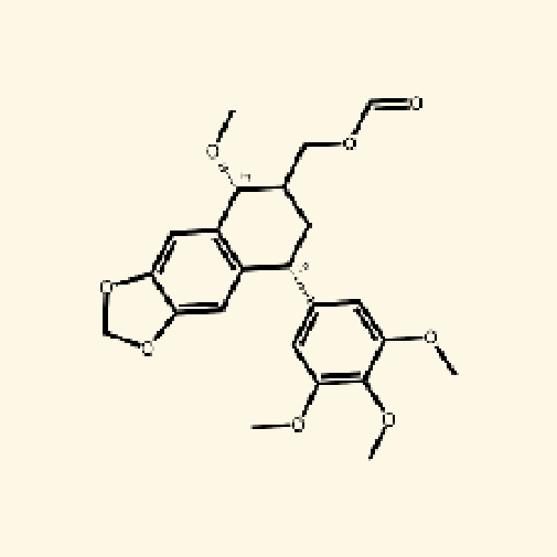 COc1cc([C@H]2CC(COC=O)[C@@H](OC)c3cc4c(cc32)OCO4)cc(OC)c1OC